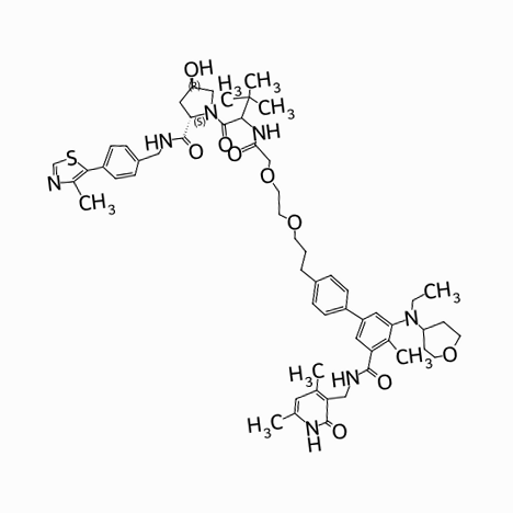 CCN(c1cc(-c2ccc(CCCOCCOCC(=O)NC(C(=O)N3C[C@H](O)C[C@H]3C(=O)NCc3ccc(-c4scnc4C)cc3)C(C)(C)C)cc2)cc(C(=O)NCc2c(C)cc(C)[nH]c2=O)c1C)C1CCOCC1